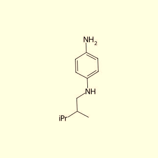 CC(C)C(C)CNc1ccc(N)cc1